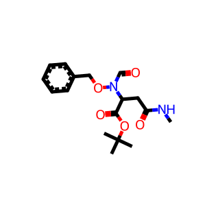 CNC(=O)CC(C(=O)OC(C)(C)C)N(C=O)OCc1ccccc1